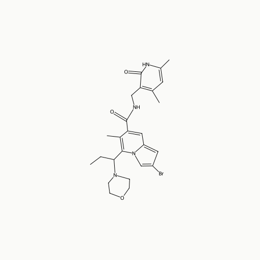 CCC(c1c(C)c(C(=O)NCc2c(C)cc(C)[nH]c2=O)cc2cc(Br)cn12)N1CCOCC1